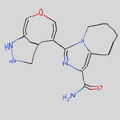 NC(=O)c1nc(C2=COC=C3NNCC32)n2c1CCCC2